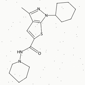 Cc1nn(C2CCCCC2)c2sc(C(=O)NN3CCCCC3)cc12